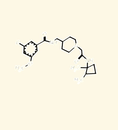 COc1cc(F)cc(C(=O)NCC2CCN(CC(=O)NC3(C)CCC3C)CC2)c1